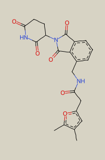 Cc1cc(CC(=O)NCc2cccc3c2C(=O)N(C2CCC(=O)NC2=O)C3=O)oc1C